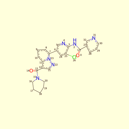 O=C(Nc1ncc(-c2cccc3c(C(=O)N4CCCCC4)cnn23)cc1Cl)c1cccnc1